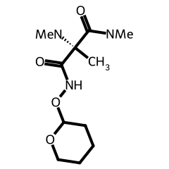 CNC(=O)[C@](C)(NC)C(=O)NOC1CCCCO1